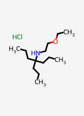 CCCC(CCC)(CCC)NCCOCC.Cl